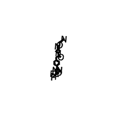 N#CCON=C1CN(C(=O)Cc2ccc(-c3noc(C(F)(F)F)n3)cc2)C1